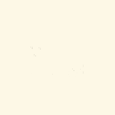 O=C(Cc1ccc(OCC[C@@H]2CC2C2CCN(c3ncc(Cl)cn3)CC2)cc1F)NC1(C(F)(F)F)CC1